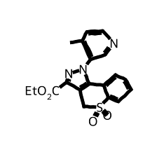 CCOC(=O)c1nn(-c2cnccc2C)c2c1CS(=O)(=O)c1ccccc1-2